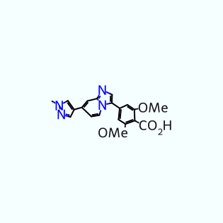 COc1cc(-c2cnc3cc(-c4cnn(C)c4)ccn23)cc(OC)c1C(=O)O